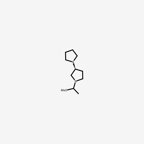 CSC(C)N1CC[C@H](N2CCCC2)C1